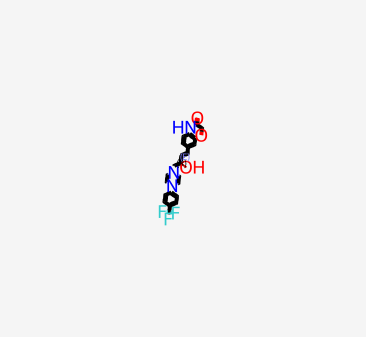 O=C1COc2cc(/C=C/[C@@H](O)CN3CCN(c4ccc(C(F)(F)F)cc4)CC3)ccc2N1